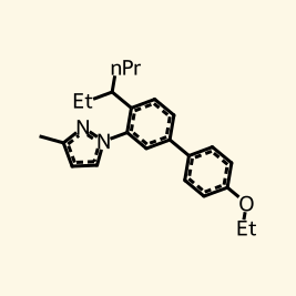 CCCC(CC)c1ccc(-c2ccc(OCC)cc2)cc1-n1ccc(C)n1